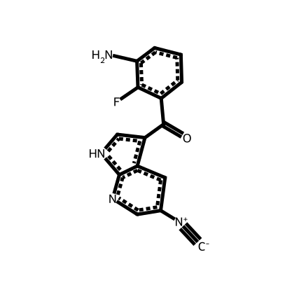 [C-]#[N+]c1cnc2[nH]cc(C(=O)c3cccc(N)c3F)c2c1